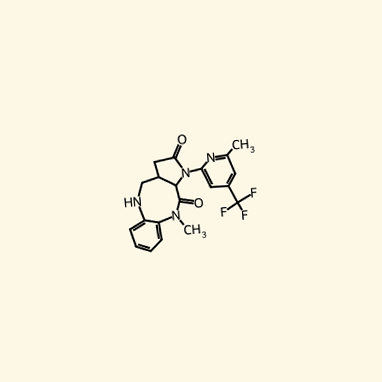 Cc1cc(C(F)(F)F)cc(N2C(=O)CC3CNc4ccccc4N(C)C(=O)C32)n1